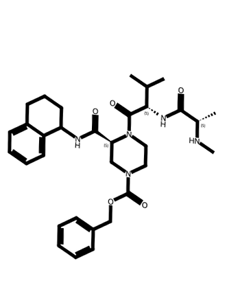 CN[C@@H](C)C(=O)N[C@H](C(=O)N1CCN(C(=O)OCc2ccccc2)C[C@H]1C(=O)NC1CCCc2ccccc21)C(C)C